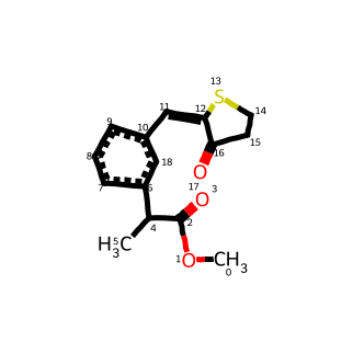 COC(=O)C(C)c1cccc(C=C2SCCC2=O)c1